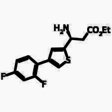 CCOC(=O)C[C@H](N)c1cc(-c2ccc(F)cc2F)cs1